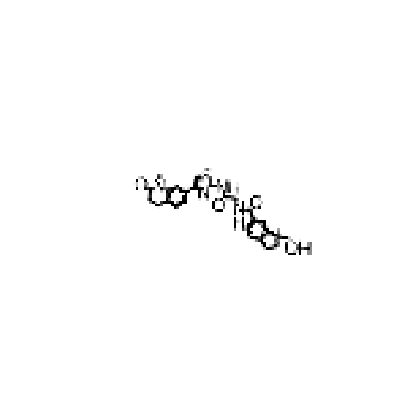 CN1C(=O)CCc2ccc(-c3csc(NC(=O)CNC(=O)c4ccc5c(c4)[C@@](C)(CO)CC5)n3)cc21